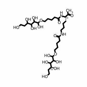 CC(=O)[C@H](CCCCNC(=O)CCCCOC(O)C(O)C(O)[C@@H](O)CCO)NC(=O)CCCCOC(O)C(O)C(O)C(O)CCO